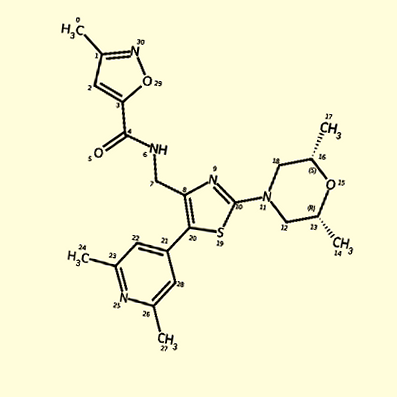 Cc1cc(C(=O)NCc2nc(N3C[C@@H](C)O[C@@H](C)C3)sc2-c2cc(C)nc(C)c2)on1